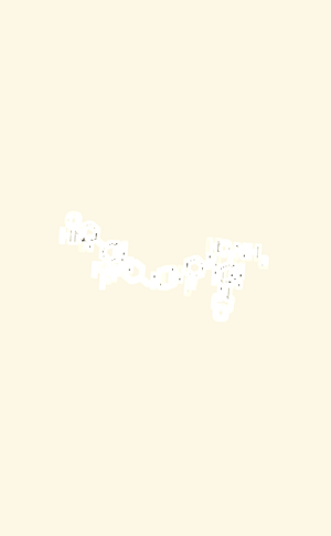 NC(=O)c1nnc(N2CCOCC2)nc1Nc1ccc(N2CCN(CC3CCN(c4ncc(-c5ccc(=O)[nH]n5)cc4C(F)(F)F)CC3)CC2)c(F)c1